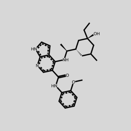 CC[C@]1(O)CC(C)C[C@H]([C@H](C)Nc2c(C(=O)Nc3ccccc3OC)cnc3[nH]ccc23)C1